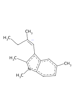 CC/C(C)=C\c1c(C)n(C)c2ccc(C)cc12